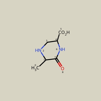 CC1NCC(C(=O)O)NC1=O